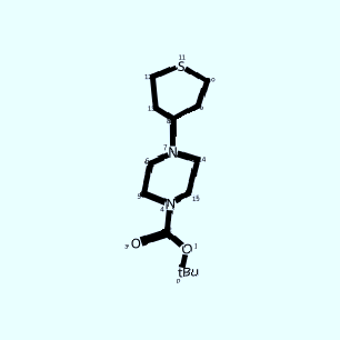 CC(C)(C)OC(=O)N1CCN(C2CCSCC2)CC1